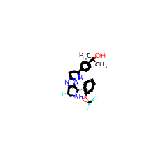 CC(C)(O)c1ccc(-c2ccc3nc4c(n3n2)[C@H](c2ccccc2OC(F)F)NC[C@@H]4F)cc1